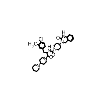 Cc1cc(CC(NC(=O)N2CCC(N3Cc4ccccc4NC3=O)CC2)C(=O)N2CCC(N3CCCCC3)CC2)ccc1Cl